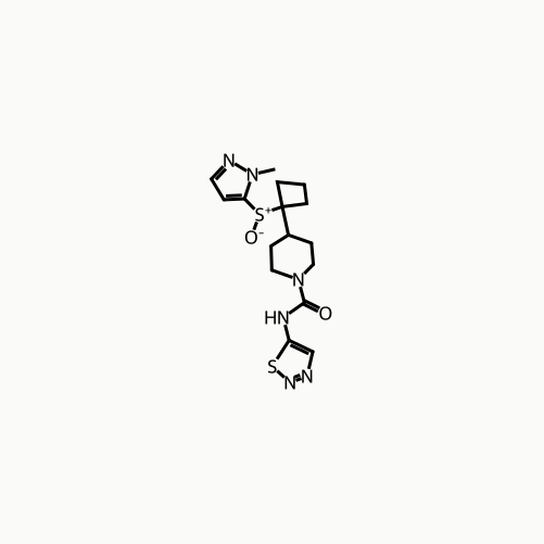 Cn1nccc1[S+]([O-])C1(C2CCN(C(=O)Nc3cnns3)CC2)CCC1